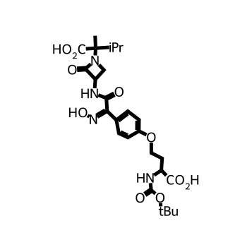 CC(C)C(C)(C(=O)O)N1CC(NC(=O)C(=NO)c2ccc(OCCC(NC(=O)OC(C)(C)C)C(=O)O)cc2)C1=O